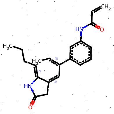 C=CC(=O)Nc1cccc(C(/C=C2/CC(=O)N/C2=C\CCC)=C/C)c1